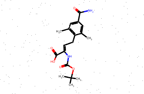 Cc1cc(C(N)=O)cc(C)c1C/C=C(\NC(=O)OC(C)(C)C)C(=O)O